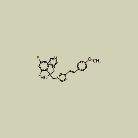 COc1ccc(C=Cc2ccn(CC(O)(Cn3cncn3)c3ccc(F)cc3F)c2)cc1